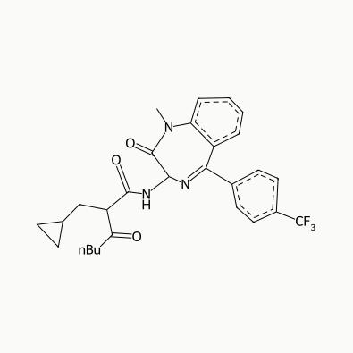 CCCCC(=O)C(CC1CC1)C(=O)NC1N=C(c2ccc(C(F)(F)F)cc2)c2ccccc2N(C)C1=O